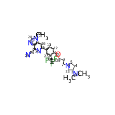 CN(C)[C@H]1CCN(CCCOc2ccc(-c3cc4c(ncn4C)c(C#N)n3)cc2C(F)(F)F)C1